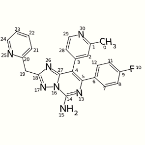 Cc1cc(-c2c(-c3ccc(F)cc3)nc(N)n3nc(Cc4ccccn4)nc23)ccn1